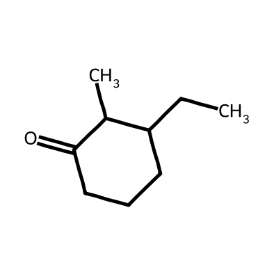 CCC1CCCC(=O)C1C